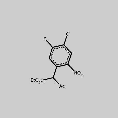 CCOC(=O)C(C(C)=O)c1cc(F)c(Cl)cc1[N+](=O)[O-]